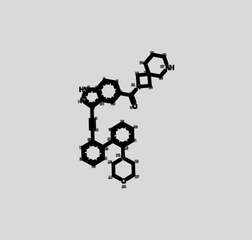 O=C(c1ccc2[nH]nc(C#Cc3ccccc3-c3ccccc3N3CCOCC3)c2c1)N1CC2(CCCNC2)C1